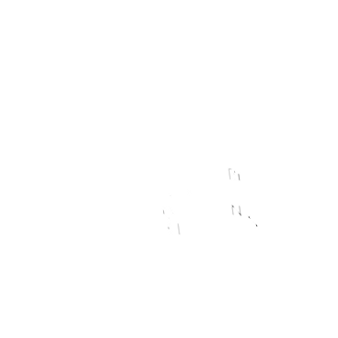 N#[N+]c1cc2c(cc1Br)-c1ccccc1C2=O.[Cl-]